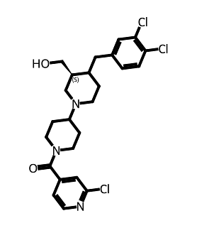 O=C(c1ccnc(Cl)c1)N1CCC(N2CCC(Cc3ccc(Cl)c(Cl)c3)[C@H](CO)C2)CC1